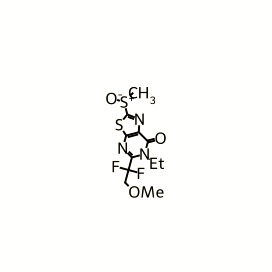 CCn1c(C(F)(F)COC)nc2sc([S+](C)[O-])nc2c1=O